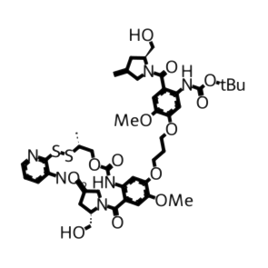 C=C1C[C@@H](CO)N(C(=O)c2cc(OC)c(OCCCOc3cc(NC(=O)OC(C)(C)C)c(C(=O)N4CC(=C)C[C@H]4CO)cc3OC)cc2NC(=O)OC[C@@H](C)SSc2ncccc2[N+](=O)[O-])C1